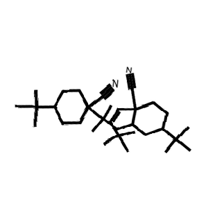 CC(C)(C)/C=C\C1(C#N)CCC(C(C)(C)C)CC1CC(C)(C)C1(C#N)CCC(C(C)(C)C)CC1